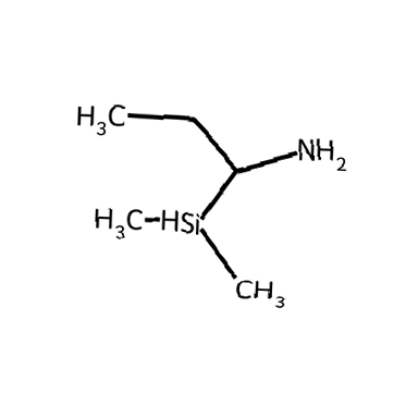 CCC(N)[SiH](C)C